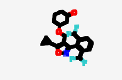 O=C1CCC[C@H](OCc2c(-c3c(C(F)F)cccc3C(F)F)noc2C2CC2)C1